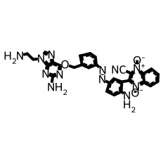 N#Cc1c(-c2cc(N=Nc3cccc(COc4nc(N)nc5c4ncn5CCN)c3)ccc2N)[n+]([O-])c2ccccc2[n+]1[O-]